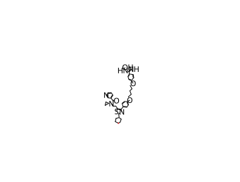 N=C(NO)c1ccc(OCCCCCOc2ccc(-c3nc(C4CCCCC4)sc3CCN(C(=O)c3cccnc3)C3CC3)cc2)cc1